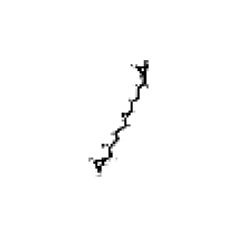 C(CCSCCCCCC1CC1)CCC1CC1